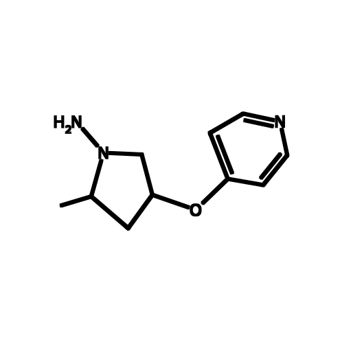 CC1CC(Oc2ccncc2)CN1N